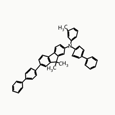 Cc1cccc(N(c2ccc(-c3ccccc3)cc2)c2ccc3c(c2)C(C)(C)c2cc(-c4ccc(-c5ccccc5)cc4)ccc2-3)c1